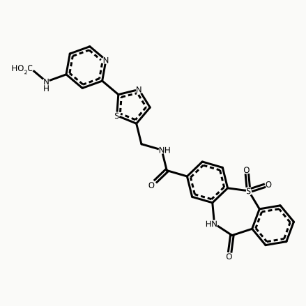 O=C(O)Nc1ccnc(-c2ncc(CNC(=O)c3ccc4c(c3)NC(=O)c3ccccc3S4(=O)=O)s2)c1